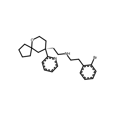 Brc1ccccc1CCNCC[C@@]1(c2ccccn2)CCOC2(CCCC2)C1